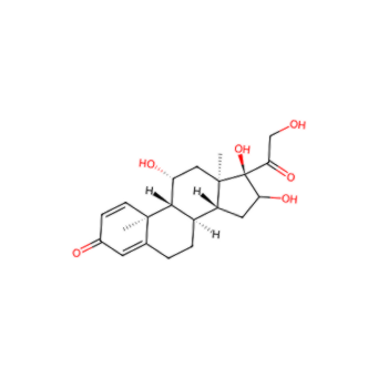 C[C@@]12C=CC(=O)C=C1CC[C@H]1[C@H]2[C@H](O)C[C@]2(C)[C@@H]1CC(O)[C@@]2(O)C(=O)CO